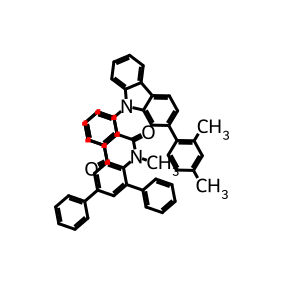 Cc1ccc(-c2ccc3c4ccccc4n(-c4cccc(C=O)c4C(=O)N(C)c4c(-c5ccccc5)cc(-c5ccccc5)cc4-c4ccccc4)c3c2)c(C)c1